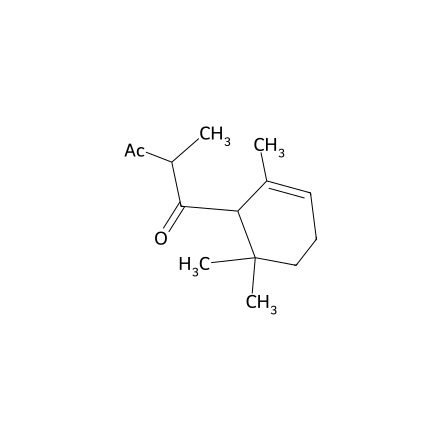 CC(=O)C(C)C(=O)C1C(C)=CCCC1(C)C